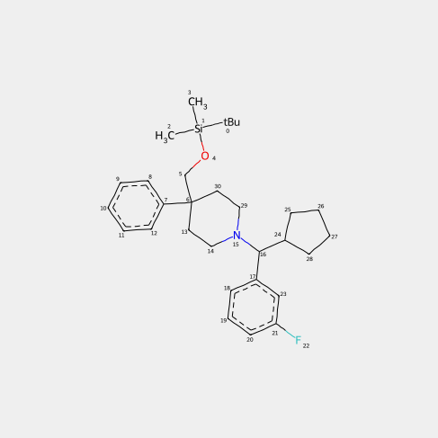 CC(C)(C)[Si](C)(C)OCC1(c2ccccc2)CCN(C(c2cccc(F)c2)C2CCCC2)CC1